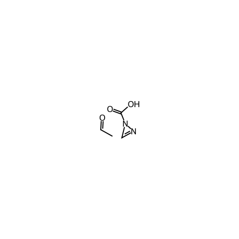 CC=O.O=C(O)N1C=N1